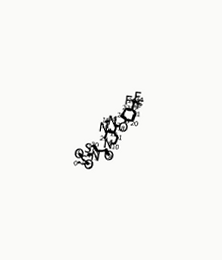 CS(=O)(=O)c1nc(C(=O)N2CCc3c(ncnc3Oc3ccc(C(F)(F)F)cc3)C2)cs1